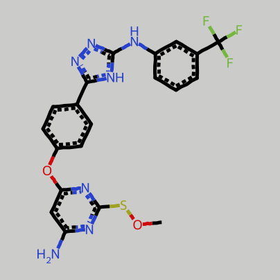 COSc1nc(N)cc(Oc2ccc(-c3nnc(Nc4cccc(C(F)(F)F)c4)[nH]3)cc2)n1